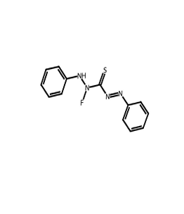 FN(Nc1ccccc1)C(=S)N=Nc1ccccc1